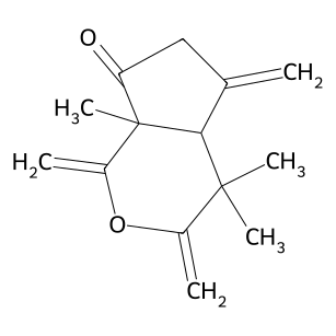 C=C1CC(=O)C2(C)C(=C)OC(=C)C(C)(C)C12